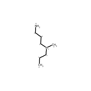 CCCN(C)CCCN